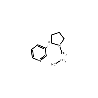 BC#N.CN1CCC[C@H]1c1cccnc1